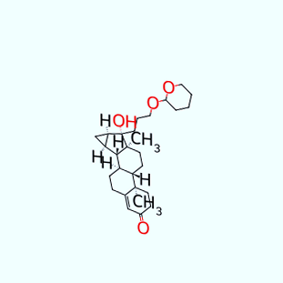 C[C@]12CCC(=O)C=C1CC[C@H]1[C@@H]3[C@H]4C[C@H]4[C@@](O)(CCCOC4CCCCO4)[C@@]3(C)CC[C@@H]12